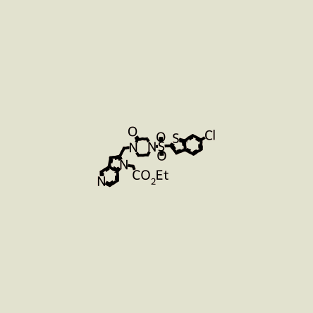 CCOC(=O)Cn1c(CN2CCN(S(=O)(=O)c3cc4ccc(Cl)cc4s3)CC2=O)cc2cnccc21